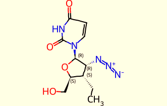 CC[C@H]1[C@@H](N=[N+]=[N-])[C@H](n2ccc(=O)[nH]c2=O)O[C@@H]1CO